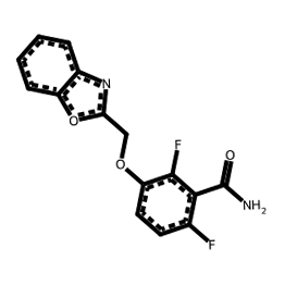 NC(=O)c1c(F)ccc(OCc2nc3ccccc3o2)c1F